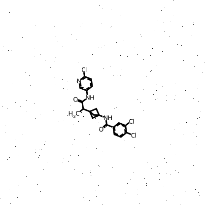 CC(C(=O)Nc1ccc(Cl)nc1)C12CC(NC(=O)c3ccc(Cl)c(Cl)c3)(C1)C2